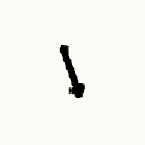 CCOCCOCCOCCOCCOCCOCCOCCOCCOCCOCC(O)(C(=O)c1ccccc1)c1ccccc1